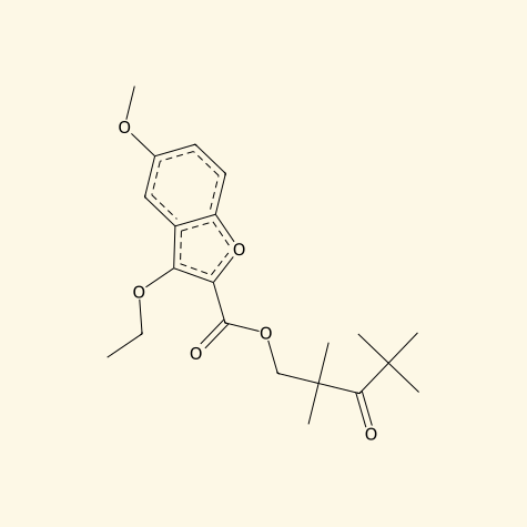 CCOc1c(C(=O)OCC(C)(C)C(=O)C(C)(C)C)oc2ccc(OC)cc12